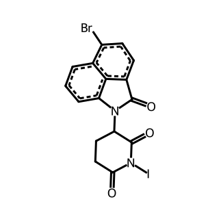 O=C1CCC(N2C(=O)c3ccc(Br)c4cccc2c34)C(=O)N1I